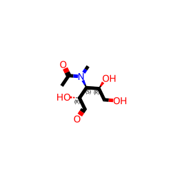 CC(=O)N(C)[C@H]([C@@H](O)C=O)[C@@H](O)CO